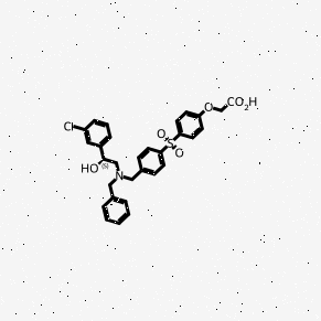 O=C(O)COc1ccc(S(=O)(=O)c2ccc(CN(Cc3ccccc3)C[C@@H](O)c3cccc(Cl)c3)cc2)cc1